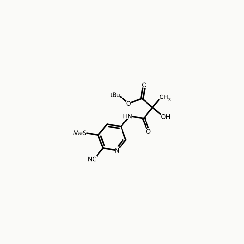 CSc1cc(NC(=O)C(C)(O)C(=O)OC(C)(C)C)cnc1C#N